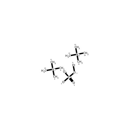 CCOP(=O)([O-])[O-].C[N+](C)(C)C.C[N+](C)(C)C